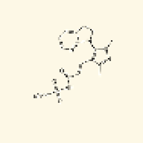 CCCCCS(=O)(=O)NC(=O)C=Cc1c(C)nn(C)c1N1CCc2cccnc21